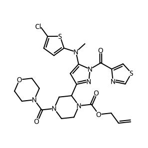 C=CCOC(=O)N1CCN(C(=O)N2CCOCC2)CC1c1cc(N(C)c2ccc(Cl)s2)n(C(=O)c2cscn2)n1